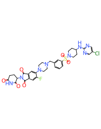 O=C1CCC(N2C(=O)c3cc(F)c(N4CCN(Cc5cccc(S(=O)(=O)N6CCC(Nc7ncc(Cl)cn7)CC6)c5)CC4)cc3C2=O)C(=O)N1